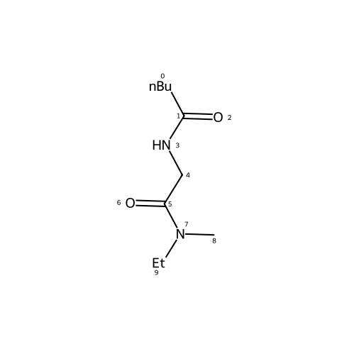 CCCCC(=O)NCC(=O)N(C)CC